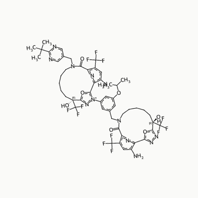 CC(C)Oc1cc(CN2CCCCC[C@](O)(C(F)(F)F)c3nnc(o3)-c3nc(c(C(F)(F)F)cc3N)C2=O)cc(-[n+]2nc3oc2-c2nc(c(C(F)(F)F)cc2N)C(=O)N(Cc2cnc(C(C)(C)C)nc2)CCCCC[C@]3(O)C(F)(F)F)c1